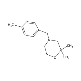 Cc1ccc(CN2CCOC(C)(C)C2)cc1